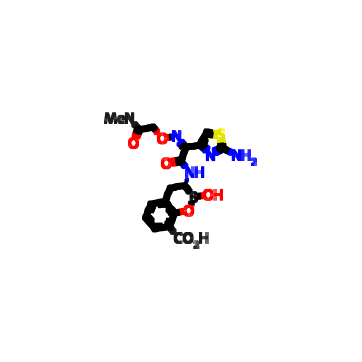 CNC(=O)CO/N=C(\C(=O)N[C@H]1Cc2cccc(C(=O)O)c2OB1O)c1csc(N)n1